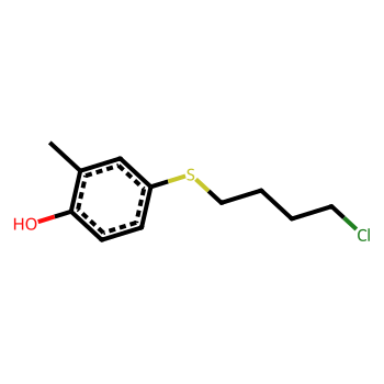 Cc1cc(SCCCCCl)ccc1O